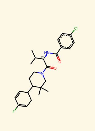 CC(C)[C@@H](NC(=O)c1ccc(Cl)cc1)C(=O)N1CCC(C2C=CC(F)=CC2)C(C)(C)C1